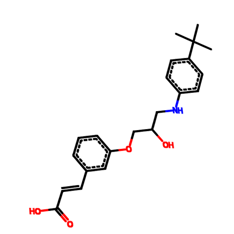 CC(C)(C)c1ccc(NCC(O)COc2cccc(C=CC(=O)O)c2)cc1